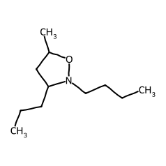 CCCCN1OC(C)CC1CCC